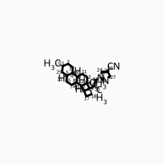 C[C@H]1CC[C@H]2[C@H](CC[C@]3(I)[C@@H]2CC[C@@]2(C)[C@H]3C3CC[C@@]32[C@@H](C)Cn2cc(C#N)cn2)C1